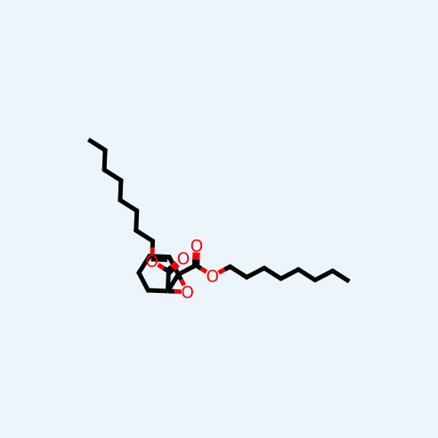 CCCCCCCCOC(=O)C12C=CCCC1(C(=O)OCCCCCCCC)O2